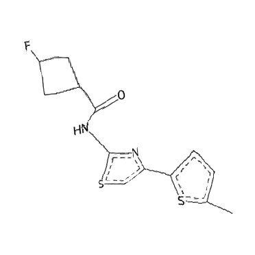 Cc1ccc(-c2csc(NC(=O)C3CC(F)C3)n2)s1